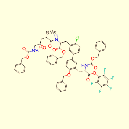 CN[C@@H](C[C@@H](O)CNC(=O)OCc1ccccc1)C(=O)N[C@@H](Cc1cc(-c2ccc(OCc3ccccc3)c(C[C@H](NC(=O)OCc3ccccc3)C(=O)Oc3c(F)c(F)c(F)c(F)c3F)c2)ccc1Cl)C(=O)OCc1ccccc1